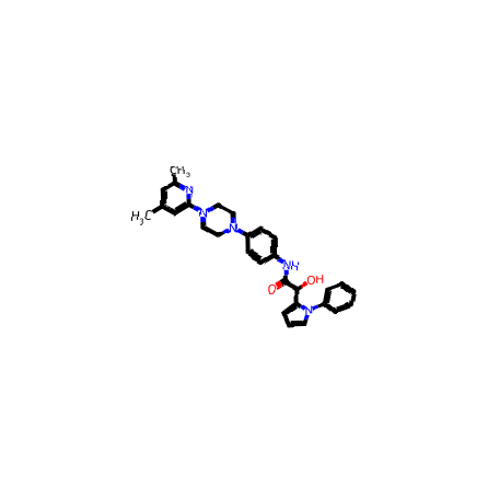 Cc1cc(C)nc(N2CCN(c3ccc(NC(=O)C(O)c4cccn4-c4ccccc4)cc3)CC2)c1